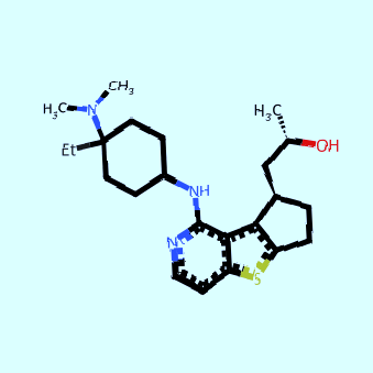 CCC1(N(C)C)CCC(Nc2nccc3sc4c(c23)[C@@H](C[C@H](C)O)CC4)CC1